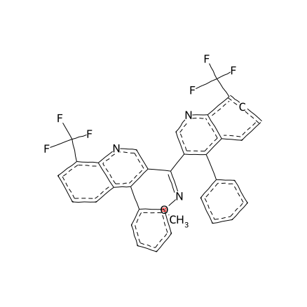 CON=C(c1cnc2c(C(F)(F)F)cccc2c1-c1ccccc1)c1cnc2c(C(F)(F)F)cccc2c1-c1ccccc1